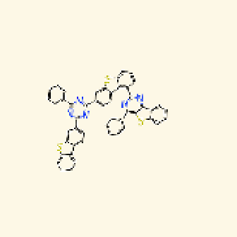 C1=CCCC(c2nc(-c3ccc4c(c3)sc3ccccc34)nc(-c3ccc4c(c3)sc3cccc(-c5nc(-c6ccccc6)c6sc7ccccc7c6n5)c34)n2)=C1